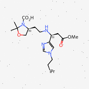 COC(=O)C[C@H](NCC[C@H]1COC(C)(C)N1C(=O)O)c1cn(CCC(C)C)cn1